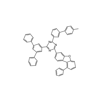 Cc1ccc(-c2cccc(-c3nc(-c4cc(-c5ccccc5)cc(-c5ccccc5)c4)nc(-c4ccc5c(c4)oc4cccc(-c6ccccc6)c45)n3)c2)cc1